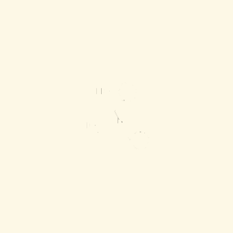 O=C(O)C(Cc1ccccc1)/N=C/c1ccccc1O